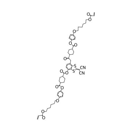 C=CC(=O)OCCCCCCOc1ccc(OC(=O)C2CCC(C(=O)Cc3ccc(OC(=O)C4CCC(C(=O)Oc5ccc(OCCCCCCOC(=O)C=C)cc5)CC4)c4c3SC(=C(C#N)C#N)S4)CC2)cc1